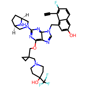 C#Cc1c(F)ccc2cc(O)cc(Cn3cnc4c(OCC5(CN6CCC(O)(C(F)(F)F)CC6)CC5)nc(N5C[C@H]6CC[C@@H](C5)N6)nc43)c12